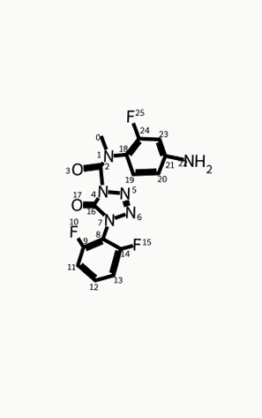 CN(C(=O)n1nnn(-c2c(F)cccc2F)c1=O)c1ccc(N)cc1F